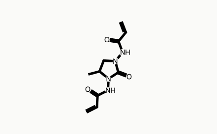 C=CC(=O)NN1CC(C)N(NC(=O)C=C)C1=O